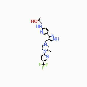 C[C@H](O)CNc1ccc(-c2n[nH]cc2CN2CCN(c3ccc(C(F)(F)F)cn3)[C@H](C)C2)cn1